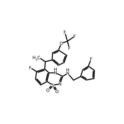 CC(c1cccc(OC(F)(F)F)c1)c1c(F)ccc2c1NC(NCc1cccc(F)c1)=NS2(=O)=O